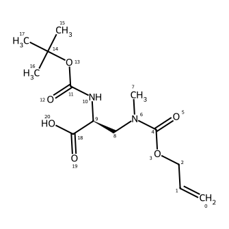 C=CCOC(=O)N(C)C[C@H](NC(=O)OC(C)(C)C)C(=O)O